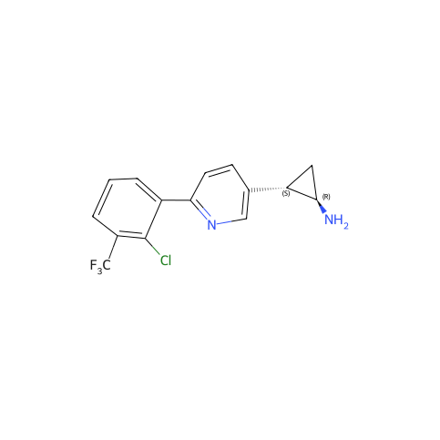 N[C@@H]1C[C@H]1c1ccc(-c2cccc(C(F)(F)F)c2Cl)nc1